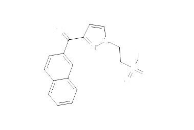 O=C(c1ccc2ccccc2c1)c1ccn(CCS(=O)(=O)F)n1